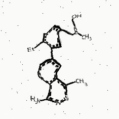 CCc1ccc(B(C)O)cc1-c1ccc2c(N)nnc(C)c2c1